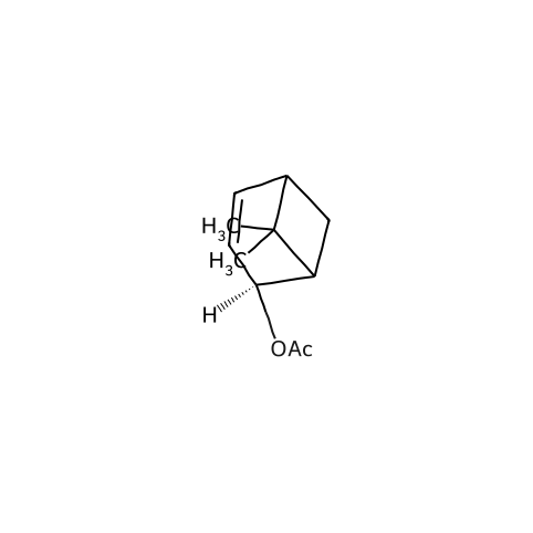 CC(=O)O[C@H]1C=CC2CC1C2(C)C